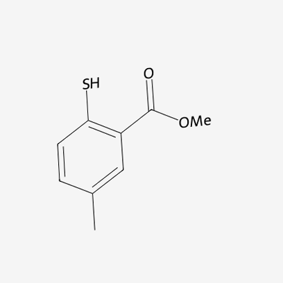 COC(=O)c1cc(C)ccc1S